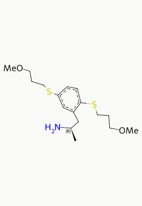 COCCCSc1ccc(SCCCOC)c(C[C@@H](C)N)c1